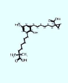 CC(C)(CCCCCCc1cc(O)cc(CCCCCCC2(C(=O)O)CC2)c1O)C(=O)O